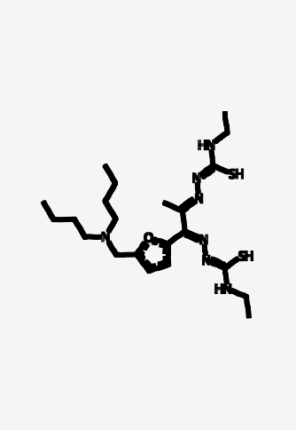 CCCCN(CCCC)Cc1ccc(C(=N\N=C(/S)NCC)/C(C)=N/N=C(\S)NCC)o1